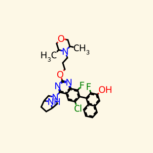 CC1COCC(C)N1CCCOc1nc(N2CC3CCC(C2)N3)c2cc(Cl)c(-c3c(F)c(O)cc4ccccc34)c(F)c2n1